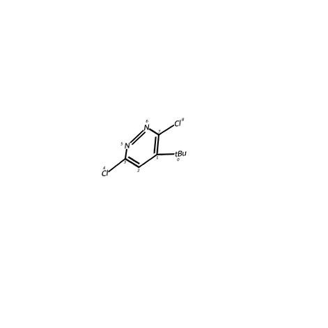 CC(C)(C)c1cc(Cl)nnc1Cl